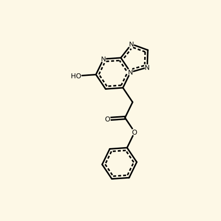 O=C(Cc1cc(O)nc2ncnn12)Oc1ccccc1